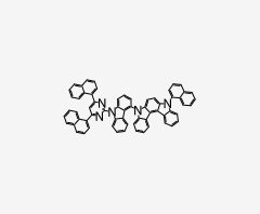 c1ccc2c(-c3cc(-c4cccc5ccccc45)nc(-n4c5ccccc5c5c(-n6c7ccccc7c7c8c9ccccc9n(-c9cccc%10ccccc9%10)c8ccc76)cccc54)n3)cccc2c1